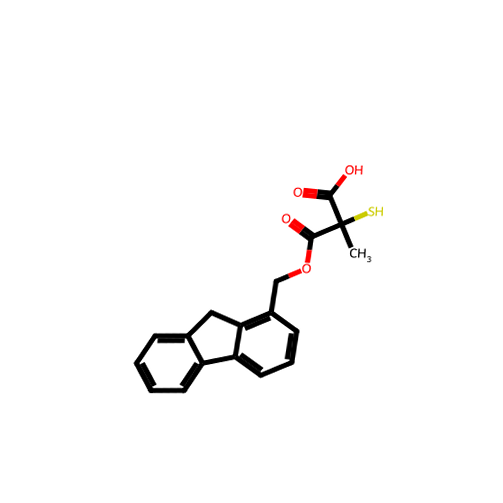 CC(S)(C(=O)O)C(=O)OCc1cccc2c1Cc1ccccc1-2